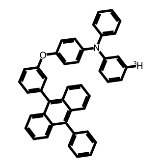 [3H]c1cccc(N(c2ccccc2)c2ccc(Oc3cccc(-c4c5ccccc5c(-c5ccccc5)c5ccccc45)c3)cc2)c1